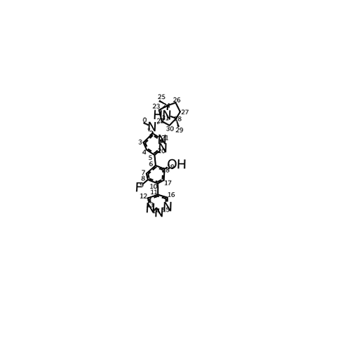 CN(c1ccc(-c2cc(F)c(-c3cnnnc3)cc2O)nn1)[C@@H]1C[C@]2(C)CC[C@](C)(C1)N2